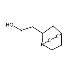 OSCC1CC2CCN1CC2